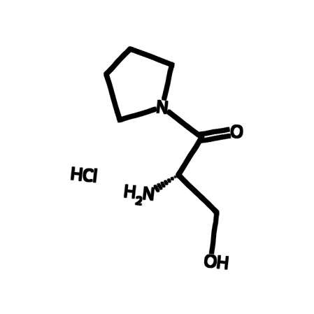 Cl.N[C@@H](CO)C(=O)N1CCCC1